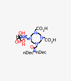 CCCCCCCCCCN(CCCCCCCCCC)C(=O)CN1CCN(CC(=O)O)CCN(CC(=O)O)CCN(CC(=O)O)CC1.NC(CO)(CO)CO